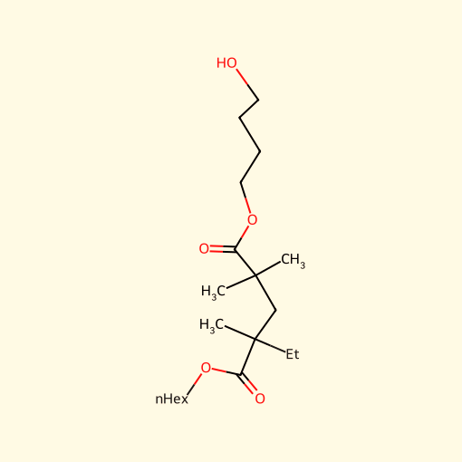 CCCCCCOC(=O)C(C)(CC)CC(C)(C)C(=O)OCCCCO